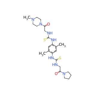 Cc1cc(NC(=S)NCC(=O)N2CCN(C)CC2)c(C)cc1NC(=S)NCC(=O)N1CCCC1